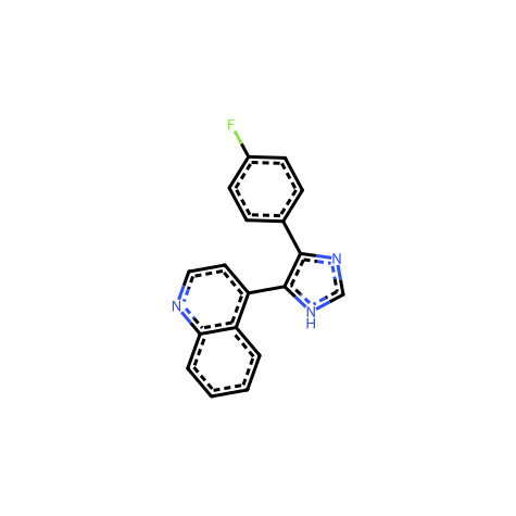 Fc1ccc(-c2nc[nH]c2-c2ccnc3ccccc23)cc1